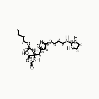 CCCCOC(=O)NC(Cc1cc(OCCCNC2NCCN2)no1)(NC=O)C(=O)O